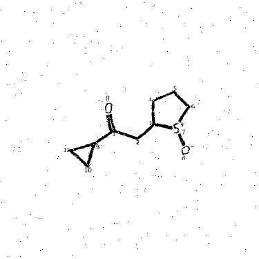 O=C(CC1CCC[S+]1[O-])C1CC1